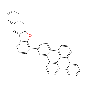 c1ccc2cc3c(cc2c1)oc1c(-c2ccc4c(c2)c2cccc5c6ccccc6c6cccc4c6c52)cccc13